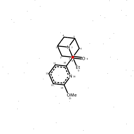 CCN1CC2CC(C1)N2C(=O)c1cccc(OC)n1